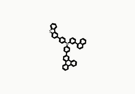 c1cc(-c2cccc3ccccc23)cc(N(c2ccc(-c3ccc4sc5ccccc5c4c3)cc2)c2ccc(-c3ccc4c5ccccc5c5ccccc5c4c3)cc2)c1